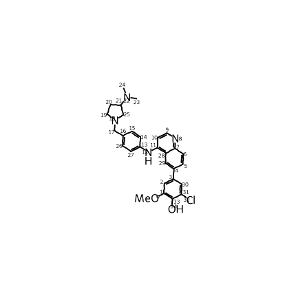 COc1cc(-c2ccc3nc[c]c(Nc4ccc(CN5CCC(N(C)C)C5)cc4)c3c2)cc(Cl)c1O